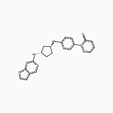 O=c1cccnn1-c1ccc(N[C@H]2CC[C@H](Nc3ncc4ccsc4n3)C2)nc1